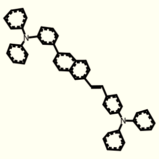 C(=C\c1ccc2cc(-c3cccc(N(c4ccccc4)c4ccccc4)c3)ccc2c1)/c1ccc(N(c2ccccc2)c2ccccc2)cc1